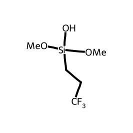 CO[Si](O)(CCC(F)(F)F)OC